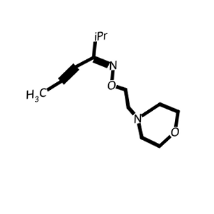 CC#C/C(=N\OCCN1CCOCC1)C(C)C